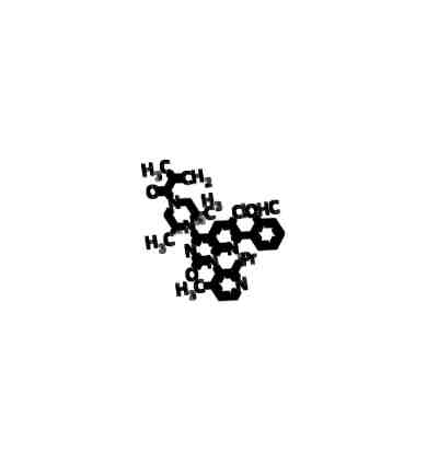 C=C(C)C(=O)N1C[C@H](C)N(c2nc(=O)n(-c3c(C)ccnc3C(C)C)c3nc(-c4ccccc4C=O)c(Cl)cc23)[C@@H](C)C1